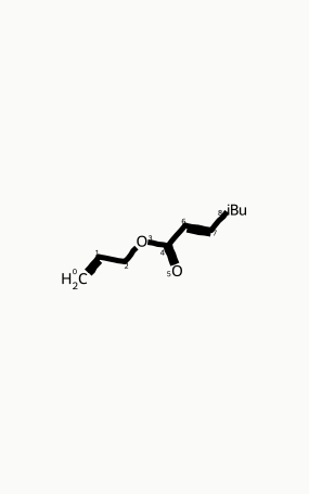 C=CCOC(=O)/C=C/C(C)CC